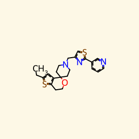 CCc1cc2c(s1)CCOC21CCN(Cc2csc(-c3cccnc3)n2)CC1